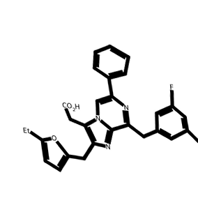 CCc1ccc(Cc2nc3c(Cc4cc(F)cc(F)c4)nc(-c4ccccc4)cn3c2CC(=O)O)o1